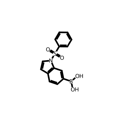 O=S(=O)(c1ccccc1)n1ccc2ccc(B(O)O)cc21